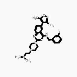 Cc1noc(C)c1-c1ccc2nc(N3CCN(CCN(C)C)CC3)nc(NCc3cccc(F)c3)c2c1